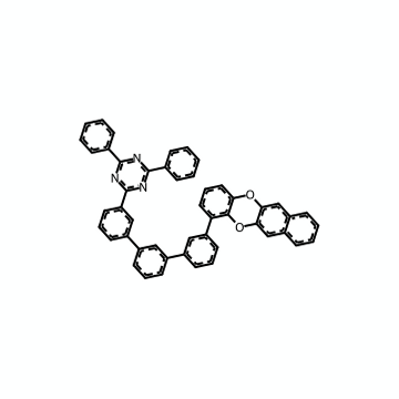 c1ccc(-c2nc(-c3ccccc3)nc(-c3cccc(-c4cccc(-c5cccc(-c6cccc7c6Oc6cc8ccccc8cc6O7)c5)c4)c3)n2)cc1